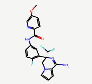 COc1ccc(C(=O)Nc2ccc(F)c([C@]3(C(F)F)Cn4cccc4C(N)=N3)c2)nc1